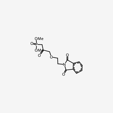 COP(=O)(CC(=O)COCCN1C(=O)c2ccccc2C1=O)OC